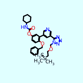 C[Si](C)(C)CCOCn1nnnc1-c1cncc(-c2cc(OC(=O)NC3CCCCC3)ccc2OCc2ccccc2)c1